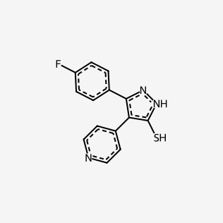 Fc1ccc(-c2n[nH]c(S)c2-c2ccncc2)cc1